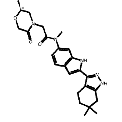 C[C@H]1CN(CC(=O)N(C)c2ccc3cc(-c4n[nH]c5c4CCC(C)(C)C5)[nH]c3c2)C(=O)CO1